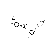 COc1cc(OCc2nc(-c3ccc(C(=O)N(C)C4CCOC4)cc3)sc2C)c2sc(-c3cn4nc(C)sc4n3)nc2c1